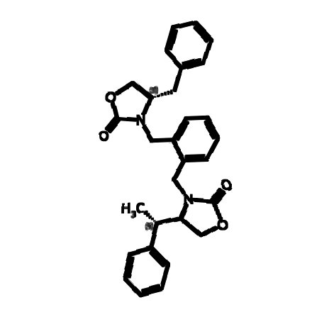 C[C@@H](c1ccccc1)C1COC(=O)N1Cc1ccccc1CN1C(=O)OC[C@@H]1Cc1ccccc1